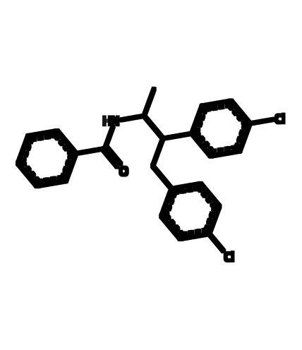 CC(NC(=O)c1ccccc1)C(Cc1ccc(Cl)cc1)c1ccc(Cl)cc1